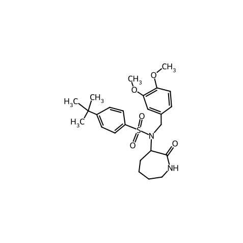 COc1ccc(CN(C2CCCCNC2=O)S(=O)(=O)c2ccc(C(C)(C)C)cc2)cc1OC